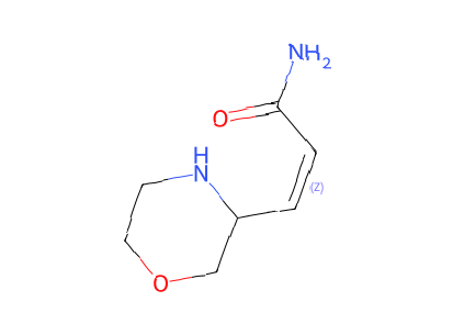 NC(=O)/C=C\C1COCCN1